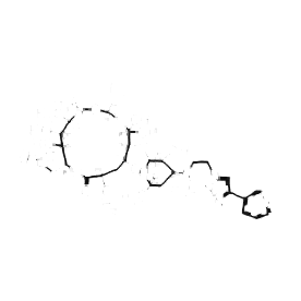 CC[C@H]1OC(=O)[C@H](C)C[C@H](C)[C@@H](O[C@@H]2O[C@H](C)C[C@H](N(C)CCn3cc(-c4cccnc4)nn3)[C@H]2O)[C@](C)(O)C[C@@H](C)CN(C)[C@H](C)[C@@H](O)[C@]1(C)O